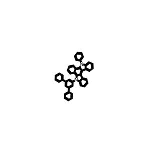 c1ccc(-c2cc(-c3ccccc3)cc(-n3c4ccccc4c4c5c6ccccc6n(-c6ccccc6)c5c5ccccc5c43)c2)cc1